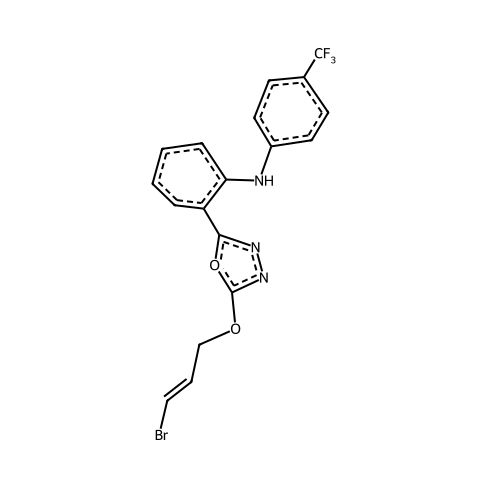 FC(F)(F)c1ccc(Nc2ccccc2-c2nnc(OCC=CBr)o2)cc1